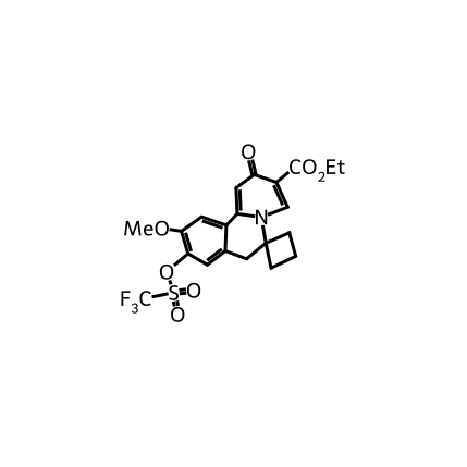 CCOC(=O)c1cn2c(cc1=O)-c1cc(OC)c(OS(=O)(=O)C(F)(F)F)cc1CC21CCC1